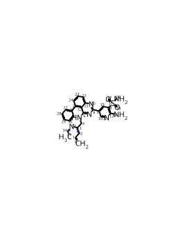 C=C/C=C(CNc1nc(-c2cnc(N)c(S(N)(=O)=O)c2)nc2cccc(-c3ccccc3)c12)\N=C/C